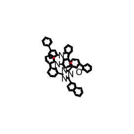 c1ccc(-c2cccc(-n3c4ccccc4c4cccc(-n5c6ccccc6c6cccc(-c7nc(-c8ccc9ccccc9c8)nc(-c8cccc9c8oc8ccccc89)n7)c65)c43)c2)cc1